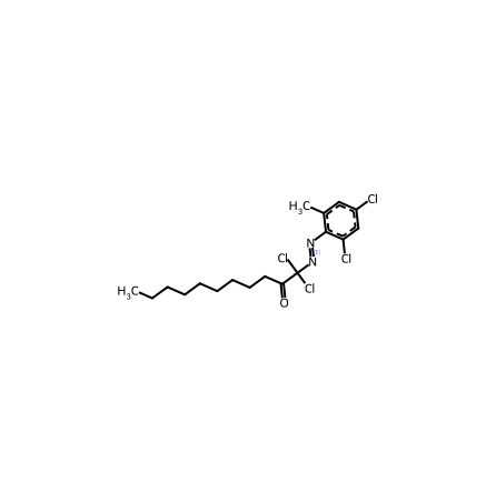 CCCCCCCCCC(=O)C(Cl)(Cl)/N=N/c1c(C)cc(Cl)cc1Cl